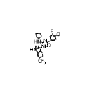 O=C(/N=C(\Nc1n[nH]c2cc(C(F)(F)F)ccc12)NC1CCCC1)c1ccc(Cl)c(F)c1